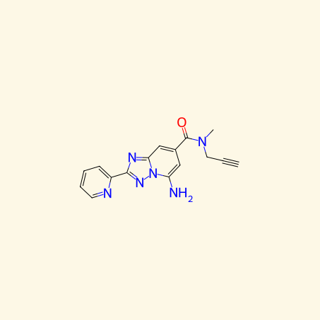 C#CCN(C)C(=O)c1cc(N)n2nc(-c3ccccn3)nc2c1